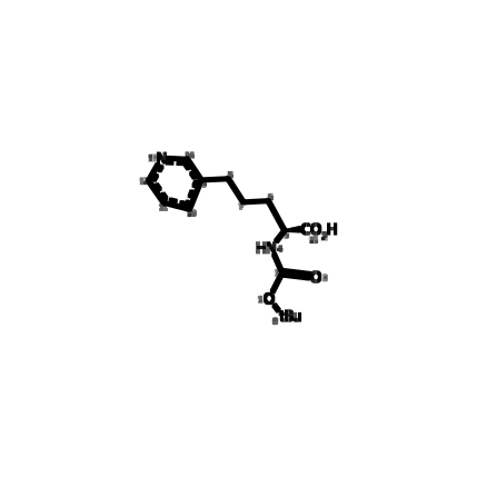 CC(C)(C)OC(=O)N[C@@H](CCCc1cccnc1)C(=O)O